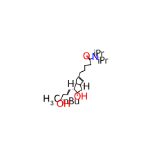 CCCC[C@@](C)(O)C/C=C/[C@@H]1[C@H]2CC(CCCCC(=O)N(C(C)C)C(C)C)=C[C@H]2C[C@H]1O